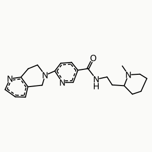 CN1CCCCC1CCNC(=O)c1ccc(N2CCc3ncccc3C2)nc1